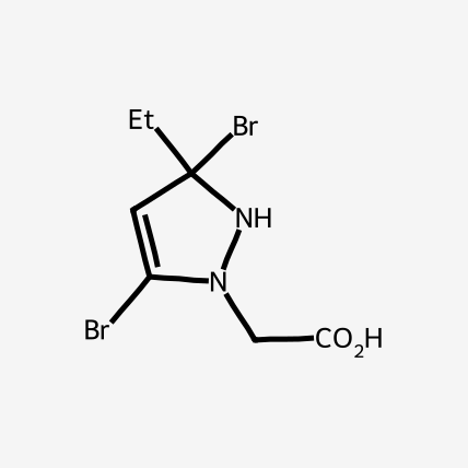 CCC1(Br)C=C(Br)N(CC(=O)O)N1